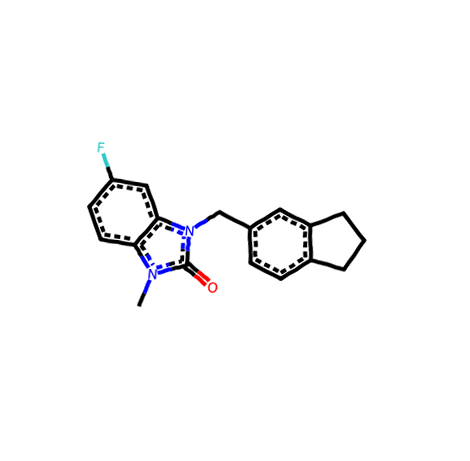 Cn1c(=O)n(Cc2ccc3c(c2)CCC3)c2cc(F)ccc21